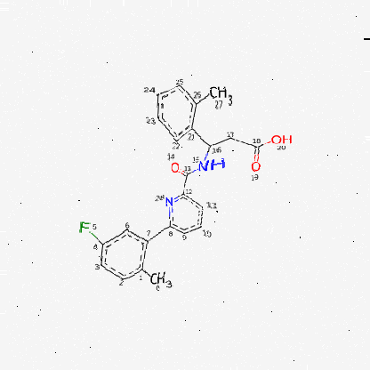 Cc1ccc(F)cc1-c1cccc(C(=O)NC(CC(=O)O)c2ccccc2C)n1